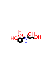 O=C(N[C@@H](CO)CCCO)c1cccc(O)c1O